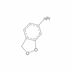 [CH2]CCc1ccc2c(c1)OOC2